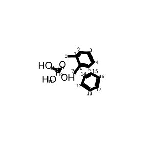 Cc1ccccc1C.O=P(O)(O)O.c1ccccc1